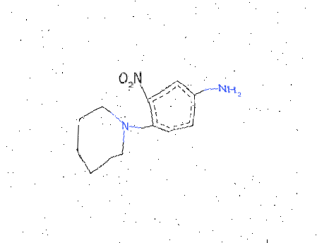 Nc1ccc(N2CCCCC2)c([N+](=O)[O-])c1